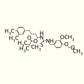 COCOc1ccc(CNC(=S)NC(CCCc2ccc(C)c(C)c2)OC(=O)C(C)(C)C)cc1OC